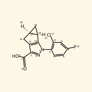 O=C(O)c1nn(-c2ccc(F)cc2Cl)c2c1C[C@H]1C[C@@H]21